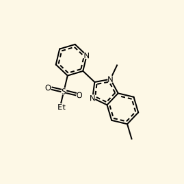 CCS(=O)(=O)c1cccnc1-c1nc2cc(C)ccc2n1C